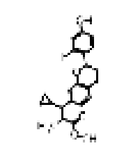 COC(=O)C(C)C(c1ccc2c(c1)OC(c1ccc(O)cc1F)CC2)C1CC1